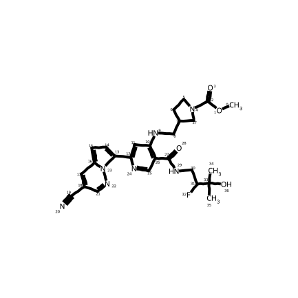 COC(=O)N1CCC(CNc2cc(-c3ccc4cc(C#N)cnn34)ncc2C(=O)NCC(F)C(C)(C)O)C1